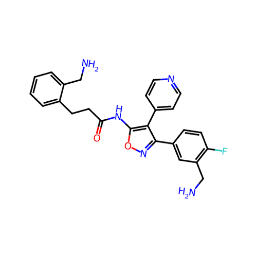 NCc1cc(-c2noc(NC(=O)CCc3ccccc3CN)c2-c2ccncc2)ccc1F